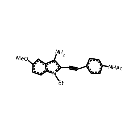 CCn1c(C#Cc2ccc(NC(C)=O)cc2)c(N)c2cc(OC)ccc21